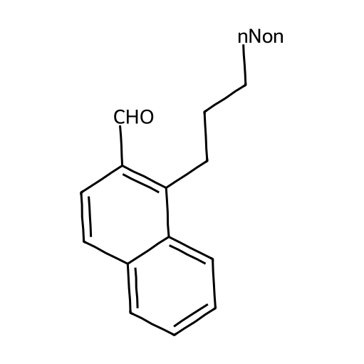 CCCCCCCCCCCCc1c(C=O)ccc2ccccc12